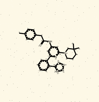 Cc1ccc(CC(=O)Nc2cc(-c3ccccc3-c3nnn[nH]3)nc(N3CCCC(C)(C)C3)c2)cc1